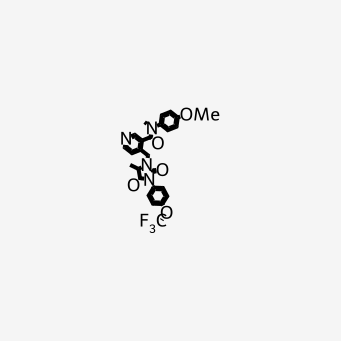 COc1ccc(N(C)C(=O)c2cnccc2CN2C(=O)N(c3ccc(OC(F)(F)F)cc3)C(=O)C2C)cc1